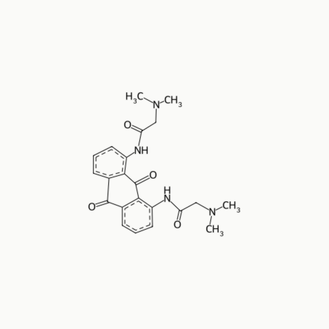 CN(C)CC(=O)Nc1cccc2c1C(=O)c1c(NC(=O)CN(C)C)cccc1C2=O